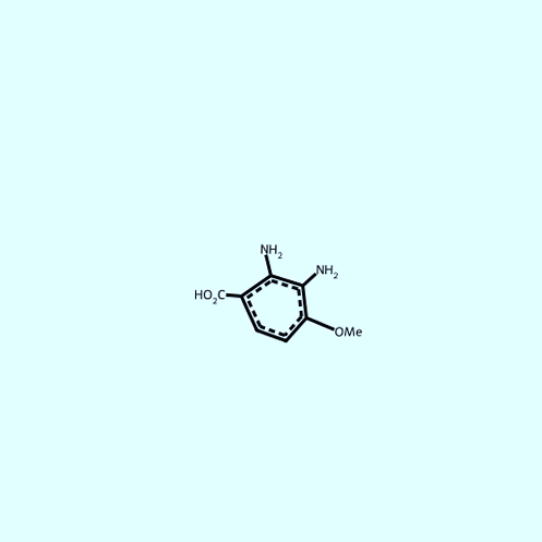 COc1ccc(C(=O)O)c(N)c1N